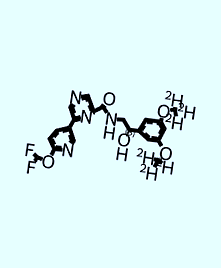 [2H]C([2H])([2H])Oc1cc(OC([2H])([2H])[2H])cc([C@H](O)CNC(=O)c2cncc(-c3ccc(OC(F)F)nc3)n2)c1